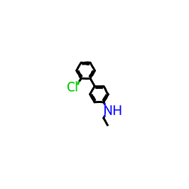 CCNc1ccc(-c2ccccc2Cl)cc1